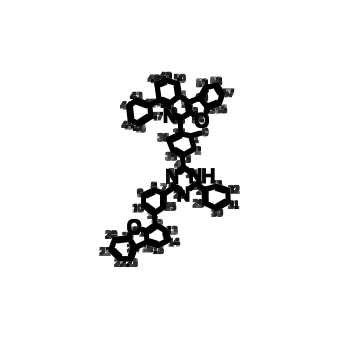 CC1CC(C2=NC(c3cccc(-c4cccc5c4oc4ccccc45)c3)=NC(c3ccccc3)N2)=CC=C1c1nc2c(-c3ccccc3)cccc2c2c1oc1ccccc12